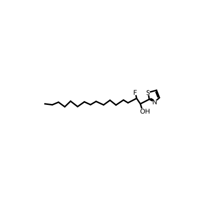 CCCCCCCCCCCCCCC(F)C(O)c1nccs1